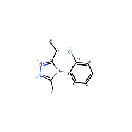 CCc1nnc(C)n1-c1ccccc1Cl